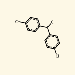 Clc1ccc(I(Cl)c2ccc(Cl)cc2)cc1